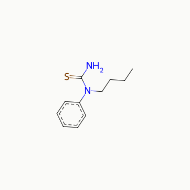 CCCCN(C(N)=S)c1ccccc1